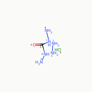 Cl.NN.NNC(=O)NN